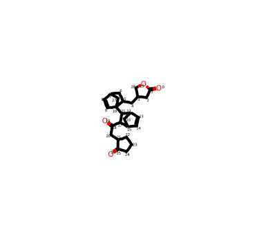 O=C1CC(CC2CC3C=CC2(C2C4C=CC(C4)C2C(=O)CC2CCCC2=O)C3)CO1